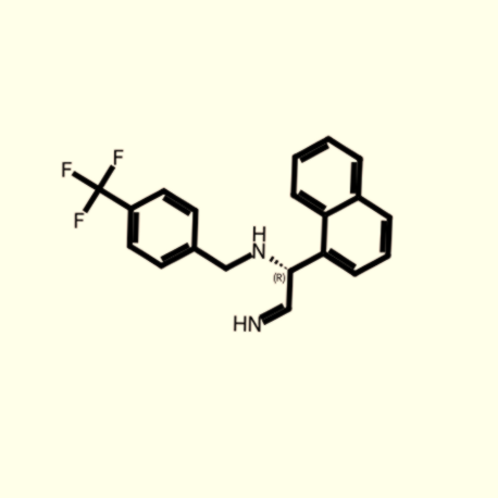 N=C[C@H](NCc1ccc(C(F)(F)F)cc1)c1cccc2ccccc12